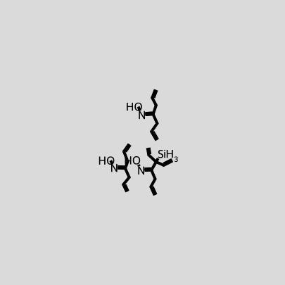 C=CCC(=NO)C([SiH3])(C=C)C=C.C=CCC(CC=C)=NO.C=CCC(CC=C)=NO